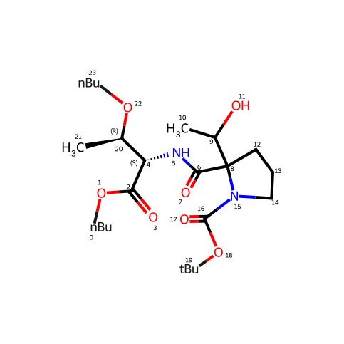 CCCCOC(=O)[C@@H](NC(=O)C1(C(C)O)CCCN1C(=O)OC(C)(C)C)[C@@H](C)OCCCC